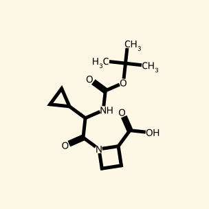 CC(C)(C)OC(=O)NC(C(=O)N1CCC1C(=O)O)C1CC1